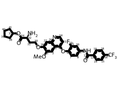 COc1cc2c(Oc3ccc(NC(=O)c4ccc(C(F)(F)F)cc4)cc3F)ccnc2cc1OCC[C@H](N)C(=O)OC1CCCC1